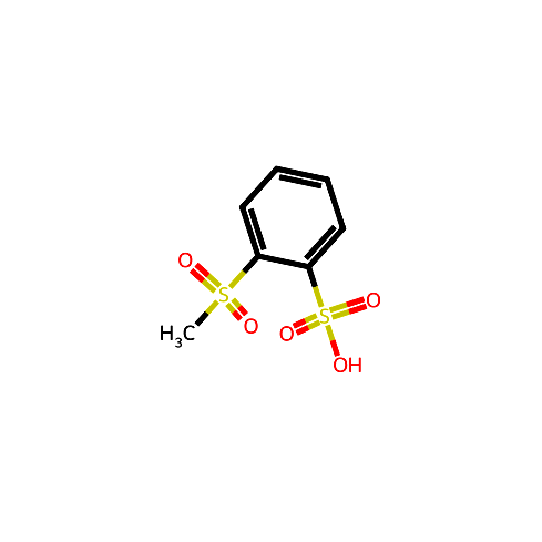 CS(=O)(=O)c1ccccc1S(=O)(=O)O